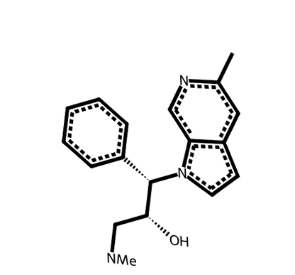 CNC[C@@H](O)[C@H](c1ccccc1)n1ccc2cc(C)ncc21